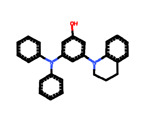 Oc1cc(N2CCCc3ccccc32)cc(N(c2ccccc2)c2ccccc2)c1